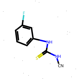 N#CNC(=S)Nc1cccc(F)c1